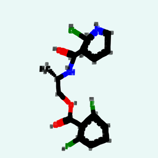 C[C@@H](COC(=O)c1c(F)cccc1F)NC(=O)c1cccnc1Cl